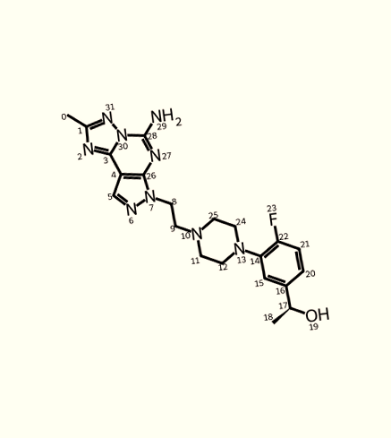 Cc1nc2c3cnn(CCN4CCN(c5cc([C@H](C)O)ccc5F)CC4)c3nc(N)n2n1